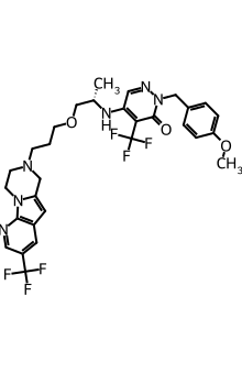 COc1ccc(Cn2ncc(N[C@@H](C)COCCCN3CCn4c(cc5cc(C(F)(F)F)cnc54)C3)c(C(F)(F)F)c2=O)cc1